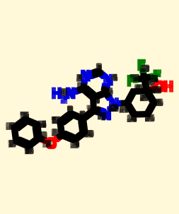 Nc1ncnc2c1c(-c1ccc(Oc3ccccc3)cc1)nn2C1CCCC(O)(C(F)(F)F)C1